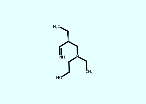 CC[C@H](C=N)CN(CC)CCO